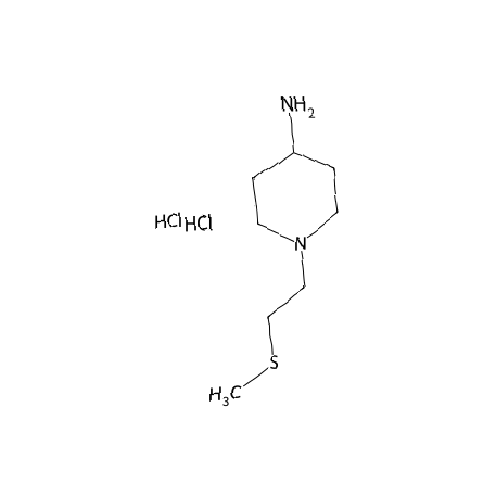 CSCCN1CCC(N)CC1.Cl.Cl